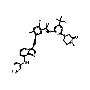 C=C/C(=C\N)Nc1cccn2c(C#Cc3cc(C(=O)Nc4cc(N5CCN(C)C(=O)C5)cc(C(C)(C)C)c4)c(F)cc3C)cnc12